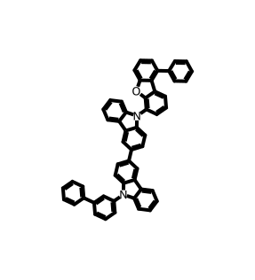 c1ccc(-c2cccc(-n3c4ccccc4c4cc(-c5ccc6c(c5)c5ccccc5n6-c5cccc6c5oc5cccc(-c7ccccc7)c56)ccc43)c2)cc1